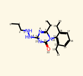 CCCNNc1nc(CC)n(-c2c(CC)cccc2CC)c(=O)n1